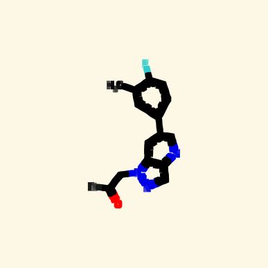 CCC(=O)Cn1ncc2ncc(-c3ccc(F)c(C)c3)cc21